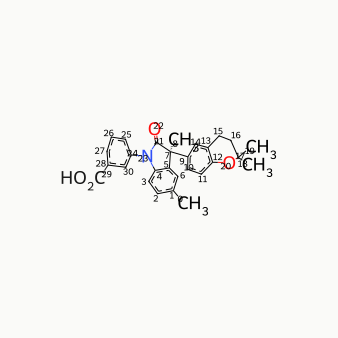 Cc1ccc2c(c1)[C@](C)(c1ccc3c(c1)CCC(C)(C)O3)C(=O)N2c1cccc(C(=O)O)c1